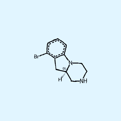 Brc1cccc2c1C[C@@H]1CNCCN21